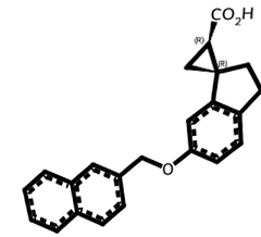 O=C(O)[C@@H]1C[C@]12CCc1ccc(OCc3ccc4ccccc4c3)cc12